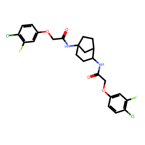 O=C(COc1ccc(Cl)c(F)c1)NC1CCC2(NC(=O)COc3ccc(Cl)c(F)c3)CCC1C2